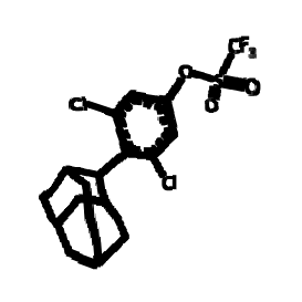 O=S(=O)(Oc1cc(Cl)c(C2C3CC4CC(C3)CC2C4)c(Cl)c1)C(F)(F)F